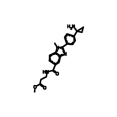 COC(=O)CCNC(=O)c1ccc2c(c1)nc(-c1ccc(C3(N)CC3)cc1)n2C